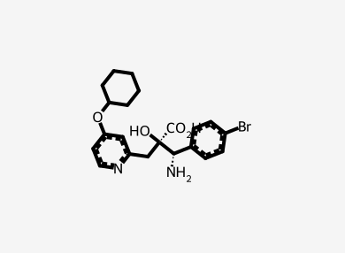 N[C@@H](c1ccc(Br)cc1)[C@](O)(Cc1cc(OC2CCCCC2)ccn1)C(=O)O